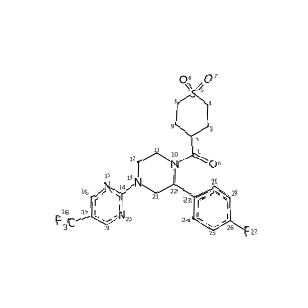 O=C(C1CCS(=O)(=O)CC1)N1CCN(c2ncc(C(F)(F)F)cn2)CC1c1ccc(F)cc1